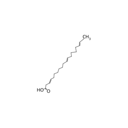 CCC=CCCCCC=CCCCCCCC=CCC(=O)O